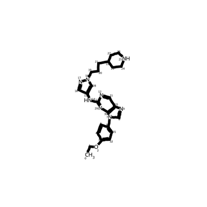 CCOc1ccc(-n2cnc3cnc(Nc4cnn(CCCC5CCNCC5)c4)nc32)cc1